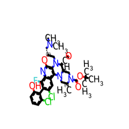 C[C@@H]1CN2c3c4c(nc5c(F)c(-c6c(O)cccc6Cl)c(Cl)cc35)O[C@H](CN(C)C)CN4C(=C=O)[C@H]2CN1C(=O)OC(C)(C)C